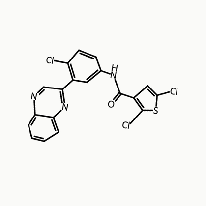 O=C(Nc1ccc(Cl)c(-c2cnc3ccccc3n2)c1)c1cc(Cl)sc1Cl